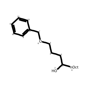 CCCCCCCCC(O)CCCOCc1ccccc1